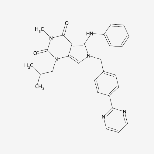 CC(C)Cn1c(=O)n(C)c(=O)c2c(Nc3ccccc3)n(Cc3ccc(-c4ncccn4)cc3)cc21